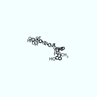 CCc1cccc2cc(O)cc(-c3ncc4c(N5CC6CCC(C5)N6)nc(OCC5(CN6CCC(N7CCN(c8cc(F)c(C(=O)NC9CCC(=O)NC9=O)c(F)c8)CC7)CC6)CC5)nc4c3F)c12